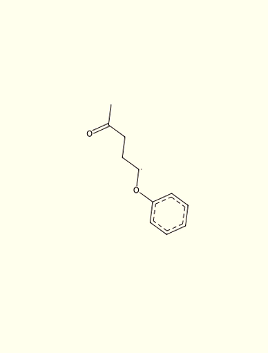 CC(=O)CC[CH]Oc1ccccc1